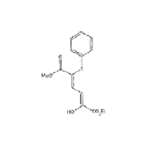 CCOC(=O)/C(O)=C/C=C(\Sc1ccccc1)C(=O)OC